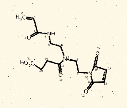 C=CC(=O)NCCN(CCN1C(=O)C=CC1=O)C(=O)CCC(=O)O